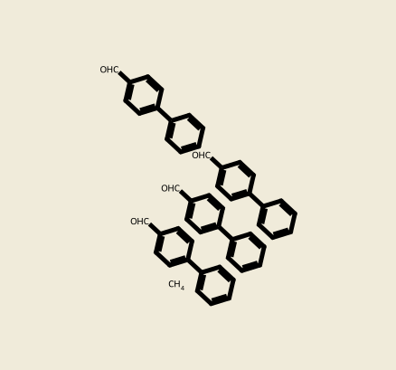 C.O=Cc1ccc(-c2ccccc2)cc1.O=Cc1ccc(-c2ccccc2)cc1.O=Cc1ccc(-c2ccccc2)cc1.O=Cc1ccc(-c2ccccc2)cc1